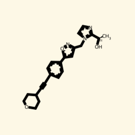 C[C@H](O)c1nccn1Cc1cc(-c2ccc(C#CC3CCOCC3)cc2)on1